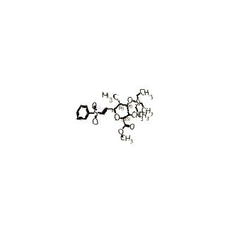 CC[Si](CC)(CC)O[C@H]1[C@@H](C)[C@@H](C(=O)OC)O[C@@H](/C=C/S(=O)(=O)c2ccccc2)[C@H]1C